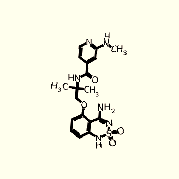 CNc1cc(C(=O)NC(C)(C)COc2cccc3c2C(N)=NS(=O)(=O)N3)ccn1